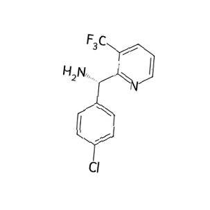 N[C@@H](c1ccc(Cl)cc1)c1ncccc1C(F)(F)F